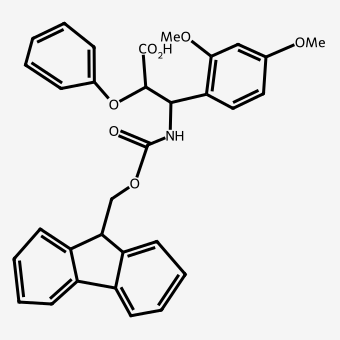 COc1ccc(C(NC(=O)OCC2c3ccccc3-c3ccccc32)C(Oc2ccccc2)C(=O)O)c(OC)c1